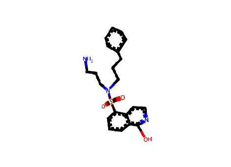 NCCCN(CCCc1ccccc1)S(=O)(=O)c1cccc2c(O)nccc12